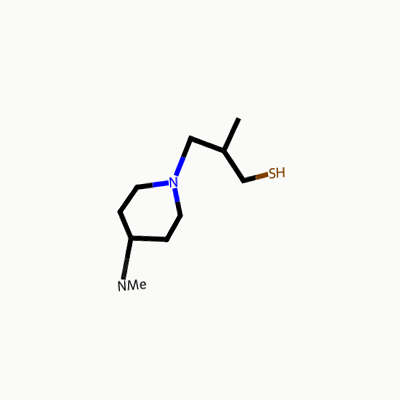 CNC1CCN(CC(C)CS)CC1